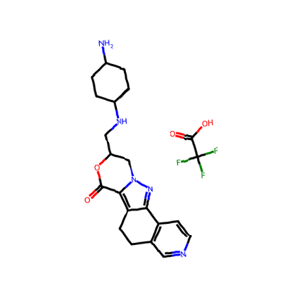 NC1CCC(NCC2Cn3nc4c(c3C(=O)O2)CCc2cnccc2-4)CC1.O=C(O)C(F)(F)F